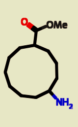 COC(=O)C1CCCCCCC(N)CCC1